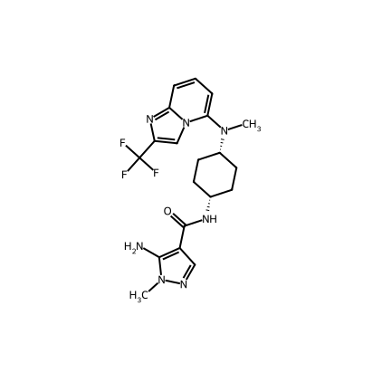 Cn1ncc(C(=O)N[C@H]2CC[C@@H](N(C)c3cccc4nc(C(F)(F)F)cn34)CC2)c1N